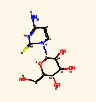 Nc1ccn([C@H]2OC(CO)[C@@H](O)C(O)[C@@H]2O)c(=S)n1